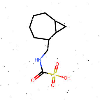 O=C(NCC1CCCCC2CC12)S(=O)(=O)O